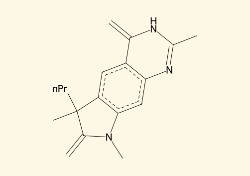 C=C1NC(C)=Nc2cc3c(cc21)C(C)(CCC)C(=C)N3C